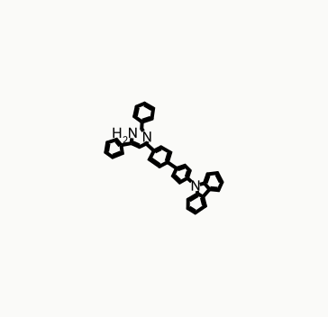 N/C(=C\C(=N/Cc1ccccc1)c1ccc(-c2ccc(-n3c4ccccc4c4ccccc43)cc2)cc1)c1ccccc1